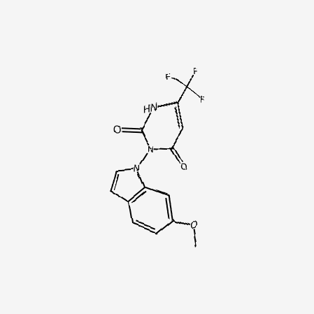 COc1ccc2ccn(-n3c(=O)cc(C(F)(F)F)[nH]c3=O)c2c1